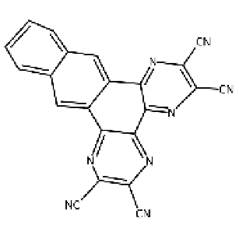 N#Cc1nc2c3cc4ccccc4cc3c3nc(C#N)c(C#N)nc3c2nc1C#N